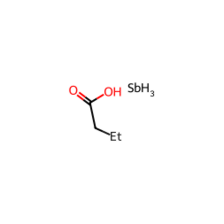 CCCC(=O)O.[SbH3]